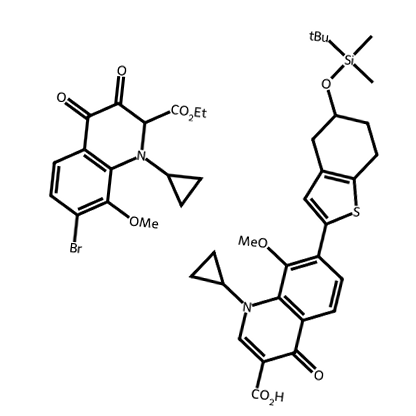 CCOC(=O)C1C(=O)C(=O)c2ccc(Br)c(OC)c2N1C1CC1.COc1c(-c2cc3c(s2)CCC(O[Si](C)(C)C(C)(C)C)C3)ccc2c(=O)c(C(=O)O)cn(C3CC3)c12